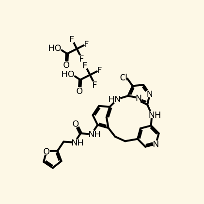 O=C(NCc1ccco1)Nc1ccc2cc1CCc1cncc(c1)Nc1ncc(Cl)c(n1)N2.O=C(O)C(F)(F)F.O=C(O)C(F)(F)F